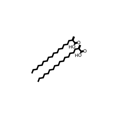 C=C(CCCCCCCCCCCCCCCC)C(=O)O.C=C(CCCCCCCCCCCCCCCC)C(=O)O